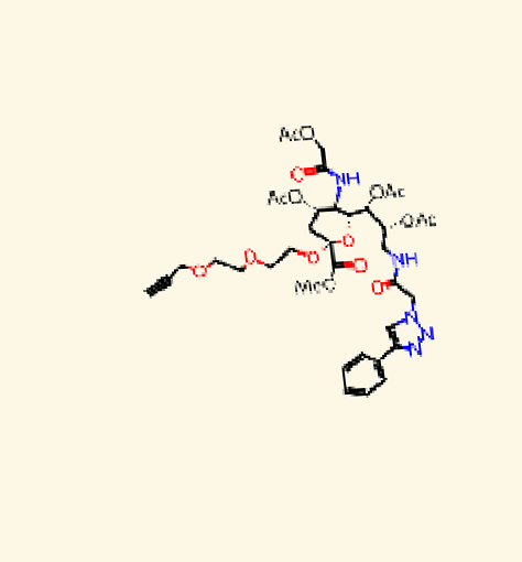 C#CCOCCOCCO[C@]1(C(=O)OC)C[C@H](OC(C)=O)[C@@H](NC(=O)COC(C)=O)[C@H]([C@H](OC(C)=O)[C@@H](CNC(=O)Cn2cc(-c3ccccc3)nn2)OC(C)=O)O1